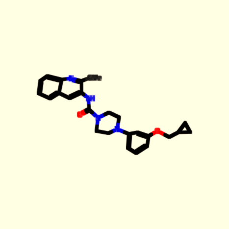 COc1nc2ccccc2cc1NC(=O)N1CCN(c2cccc(OCC3CC3)c2)CC1